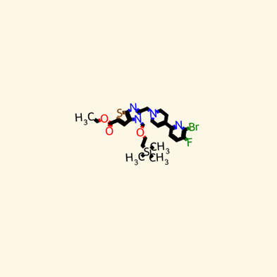 CCOC(=O)c1cc2c(nc(CN3CC=C(c4ccc(F)c(Br)n4)CC3)n2COCC[Si](C)(C)C)s1